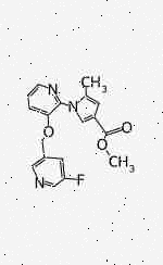 COC(=O)c1cc(C)n(-c2ncccc2OCc2cncc(F)c2)c1